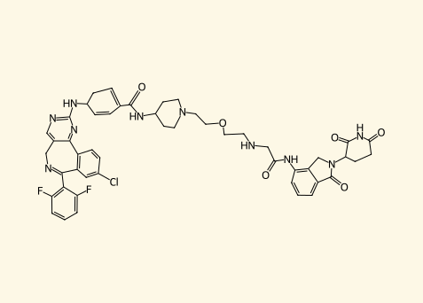 O=C1CCC(N2Cc3c(NC(=O)CNCCOCCN4CCC(NC(=O)C5=CCC(Nc6ncc7c(n6)-c6ccc(Cl)cc6C(c6c(F)cccc6F)=NC7)C=C5)CC4)cccc3C2=O)C(=O)N1